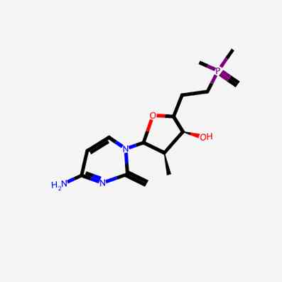 C=C1N=C(N)C=CN1C1OC(CCP(=C)(C)C)[C@@H](O)[C@H]1C